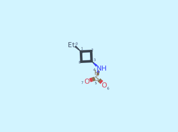 CC[C@H]1C[C@@H](N[SH](=O)=O)C1